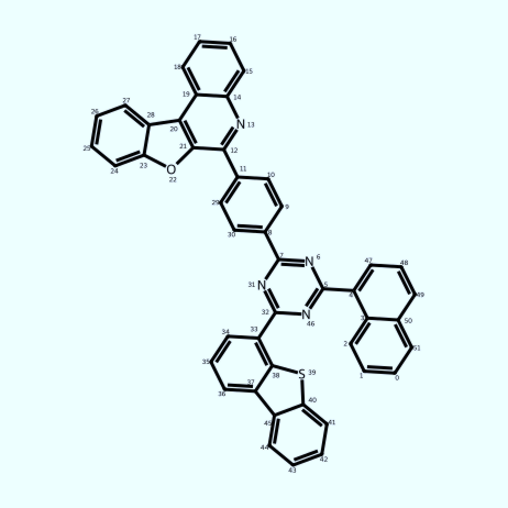 c1ccc2c(-c3nc(-c4ccc(-c5nc6ccccc6c6c5oc5ccccc56)cc4)nc(-c4cccc5c4sc4ccccc45)n3)cccc2c1